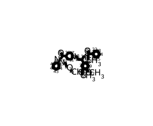 CCOCCn1c(C(=O)C2CCN(CCC(CN(C)C(=O)c3ccccc3)c3ccc(OC)c(OC)c3)CC2)nc2ccccc21